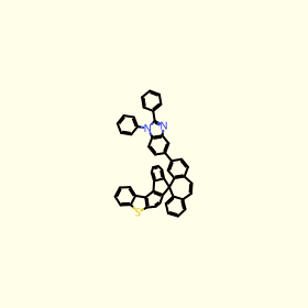 C1=Cc2ccc(-c3ccc4c(c3)nc(-c3ccccc3)n4-c3ccccc3)cc2C2(c3ccccc31)c1ccccc1-c1c2ccc2sc3ccccc3c12